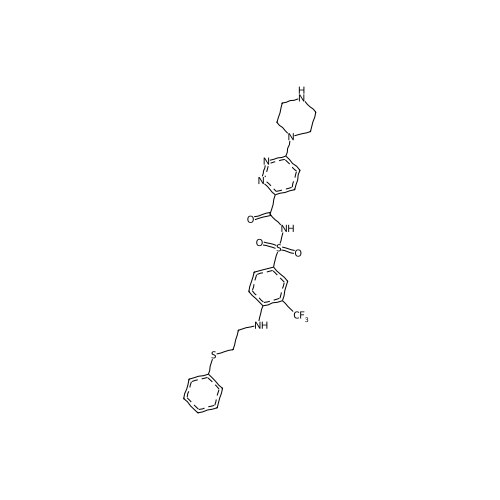 O=C(NS(=O)(=O)c1ccc(NCCSc2ccccc2)c(C(F)(F)F)c1)c1ccc(N2CCNCC2)nn1